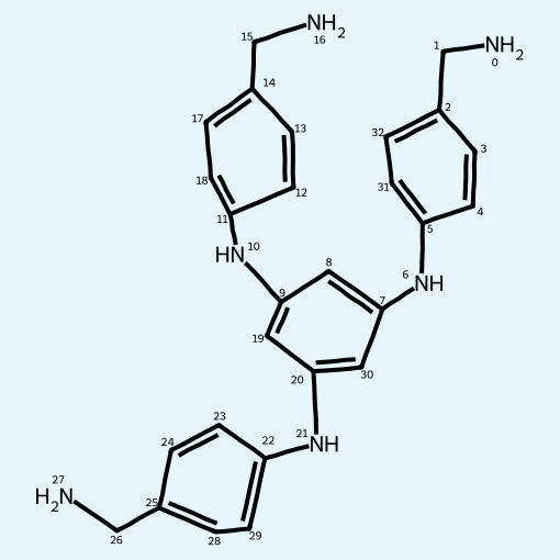 NCc1ccc(Nc2cc(Nc3ccc(CN)cc3)cc(Nc3ccc(CN)cc3)c2)cc1